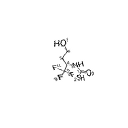 O=C(S)NC(CCO)C(F)(F)F